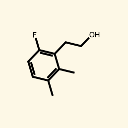 Cc1ccc(F)c(CCO)c1C